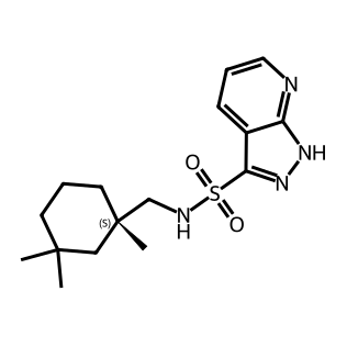 CC1(C)CCC[C@](C)(CNS(=O)(=O)c2n[nH]c3ncccc23)C1